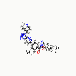 Cc1cc(-c2ccc3nnn(Cc4ccc5ncccc5c4)c3n2)ccc1C(=O)NOCCC(C)(C)C(=O)O